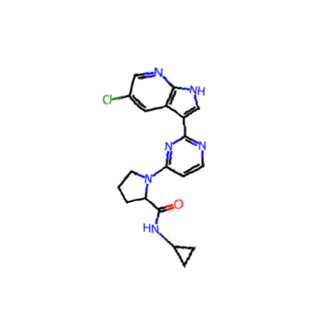 O=C(NC1CC1)C1CCCN1c1ccnc(-c2c[nH]c3ncc(Cl)cc23)n1